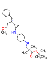 COCC/C(=C\c1ccccc1)C1CC1N[C@H]1CC[C@H](NCC(C)(C)C(=O)OC(C)(C)C)CC1